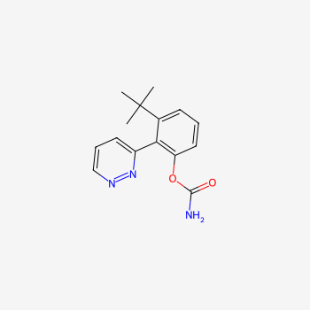 CC(C)(C)c1cccc(OC(N)=O)c1-c1cccnn1